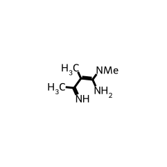 CN/C(N)=C(\C)C(C)=N